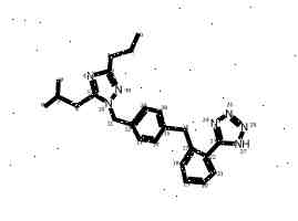 CCCc1nc(CC(C)C)n(Cc2ccc(Cc3ccccc3-c3nnn[nH]3)cc2)n1